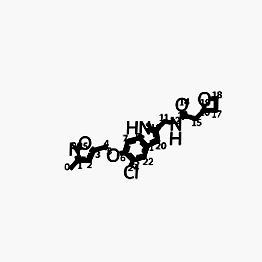 Cc1cc(COc2cc3[nH]c(CNC(=O)CC4CCO4)cc3cc2Cl)on1